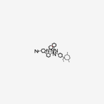 CCC1(c2ccc(-c3nc(-c4ccccc4)nc(-c4cccc5c6cc(C#N)ccc6n(-c6ccccc6)c45)n3)cc2)C[C@H](C)CC[C@H](C)C1